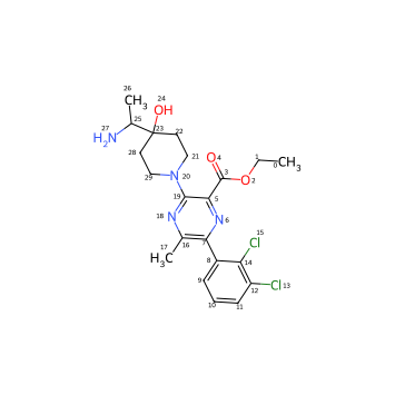 CCOC(=O)c1nc(-c2cccc(Cl)c2Cl)c(C)nc1N1CCC(O)(C(C)N)CC1